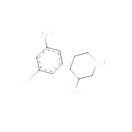 Nc1cccc(Cl)c1.OC1CCCNC1